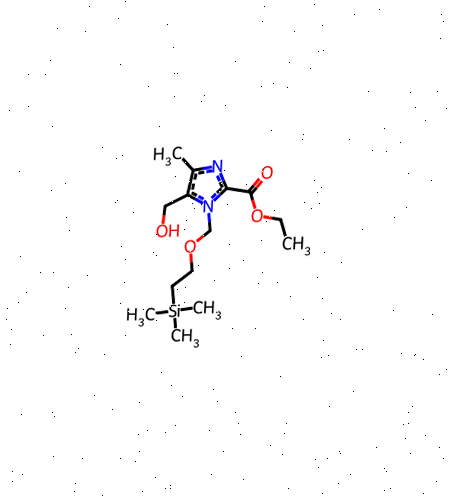 CCOC(=O)c1nc(C)c(CO)n1COCC[Si](C)(C)C